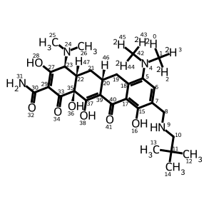 [2H]C([2H])([2H])N(c1cc(CNCC(C)(C)C)c(O)c2c1C[C@H]1C[C@H]3[C@H](N(C)C)C(O)=C(C(N)=O)C(=O)[C@@]3(O)C(O)=C1C2=O)C([2H])([2H])[2H]